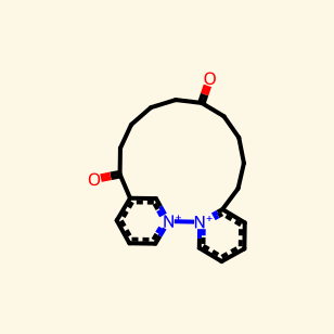 O=C1CCCCC(=O)c2ccc[n+](c2)-[n+]2ccccc2CCCC1